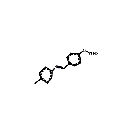 CCCCCCOc1ccc(/C=N/c2ccc(C)cc2)cc1